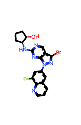 O[C@@H]1CCC[C@@H]1Nc1ncc2c(Br)nn(-c3cc(F)c4ncccc4c3)c2n1